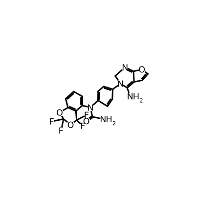 NC(=O)N(c1ccc(N2CN=c3occc3=C2N)cc1)c1cccc2c1C(F)(F)OC(F)(F)O2